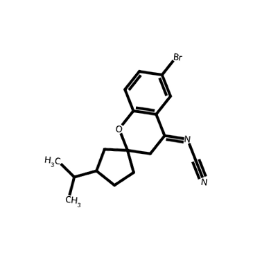 CC(C)C1CCC2(CC(=NC#N)c3cc(Br)ccc3O2)C1